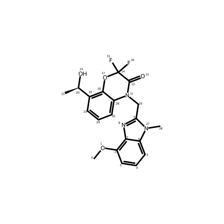 COc1cccc2c1nc(CN1C(=O)C(F)(F)Oc3c([C@@H](C)O)cccc31)n2C